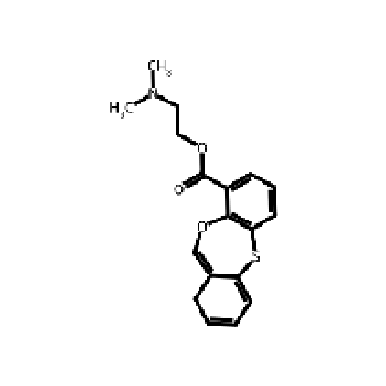 CN(C)CCOC(=O)c1cccc2c1OC=C1CC=CC=C1S2